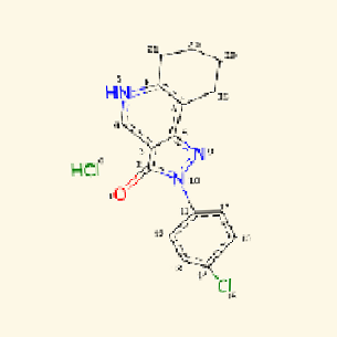 Cl.O=c1c2c[nH]c3c(c-2nn1-c1ccc(Cl)cc1)CCCC3